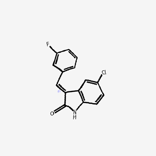 O=C1Nc2ccc(Cl)cc2/C1=C\c1cccc(F)c1